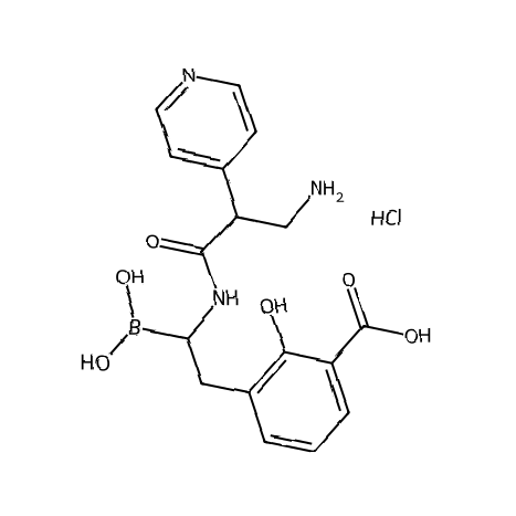 Cl.NCC(C(=O)NC(Cc1cccc(C(=O)O)c1O)B(O)O)c1ccncc1